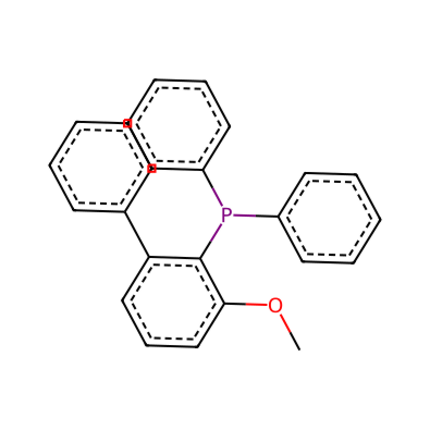 COc1cccc(-c2ccccc2)c1P(c1ccccc1)c1ccccc1